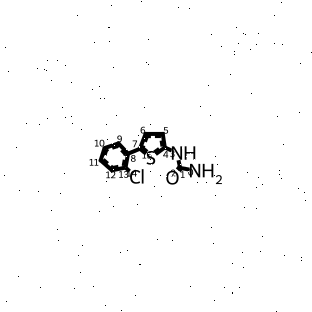 NC(=O)Nc1ccc(-c2ccccc2Cl)s1